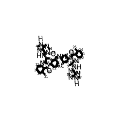 CC(=O)c1cccc(-n2c(C(C)Nc3ncnc4[nH]cnc34)nc3cccc(C)c3c2=O)c1.Cc1cccc2nc(C(C)Nc3ncnc4[nH]cnc34)n(-c3cccc(C(N)=O)c3)c(=O)c12